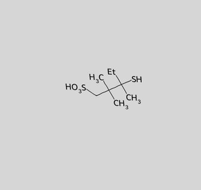 CCC(C)(S)C(C)(C)CS(=O)(=O)O